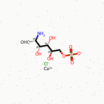 N[C@@H](C=O)[C@@H](O)[C@H](O)[C@H](O)COS(=O)(=O)[O-].[Ca+2].[Cl-]